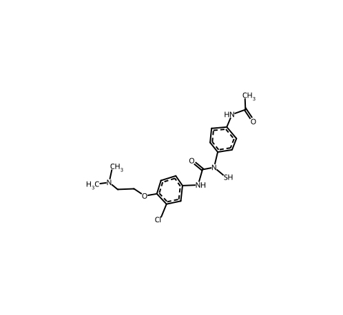 CC(=O)Nc1ccc(N(S)C(=O)Nc2ccc(OCCN(C)C)c(Cl)c2)cc1